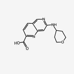 O=C(O)c1ccc2cnc(NC3CCOCC3)cc2n1